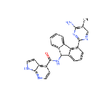 N#Cc1cnc(-c2cccc3c2-c2ccccc2C3NC(=O)c2ccnc3[nH]ccc23)nc1N